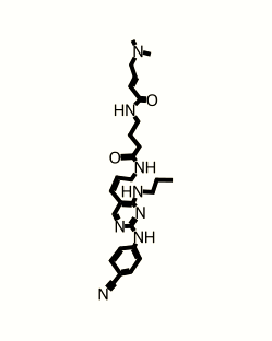 CCCNc1nc(Nc2ccc(C#N)cc2)ncc1/C=C\CNC(=O)CCCNC(=O)/C=C/CN(C)C